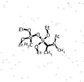 CCO[Si](C)(OCC)O[Si](OCC)(OCC)C(C)N(C)C(C)=O